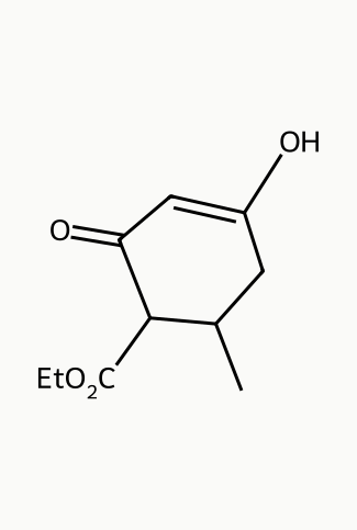 CCOC(=O)C1C(=O)C=C(O)CC1C